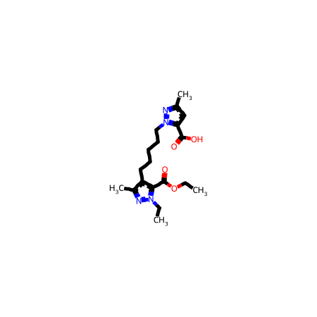 CCOC(=O)c1c(CCCCCn2nc(C)cc2C(=O)O)c(C)nn1CC